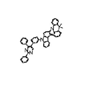 CC1(C)c2ccccc2-n2c3ccc4c(c5ccccc5n4-c4cccc(-c5cnc(-c6ccccc6)nc5-c5ccccc5)c4)c3c3cccc1c32